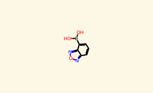 OB(O)c1cccc2nonc12